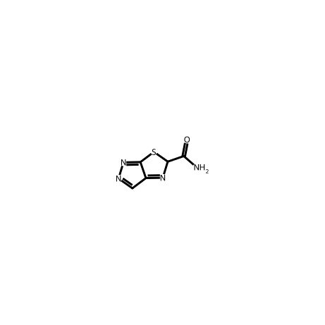 NC(=O)C1N=C2C=NN=C2S1